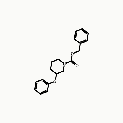 O=C(OCc1ccccc1)N1CCCC(Sc2ccccc2)C1